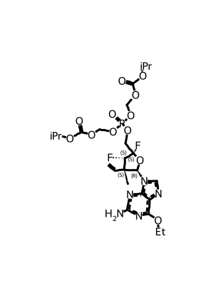 C=C[C@@]1(C)[C@H](n2cnc3c(OCC)nc(N)nc32)O[C@](F)(COP(=O)(OCOC(=O)OC(C)C)OCOC(=O)OC(C)C)[C@H]1F